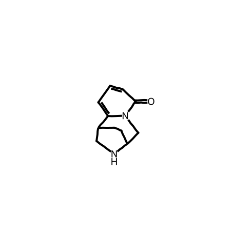 O=c1cccc2n1CC1CCC2CN1